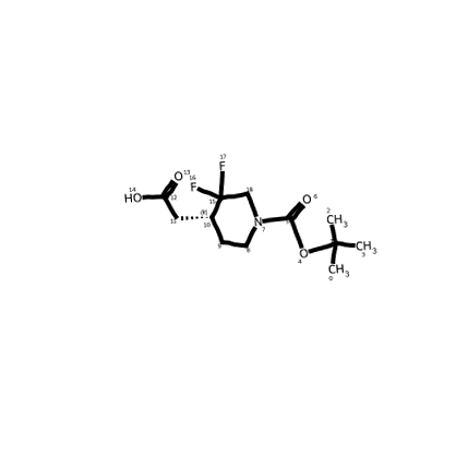 CC(C)(C)OC(=O)N1CC[C@H](CC(=O)O)C(F)(F)C1